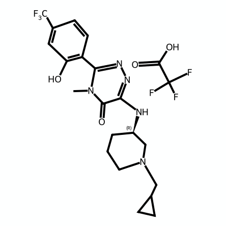 Cn1c(-c2ccc(C(F)(F)F)cc2O)nnc(N[C@@H]2CCCN(CC3CC3)C2)c1=O.O=C(O)C(F)(F)F